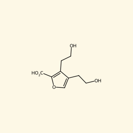 O=C(O)c1occ(CCO)c1CCO